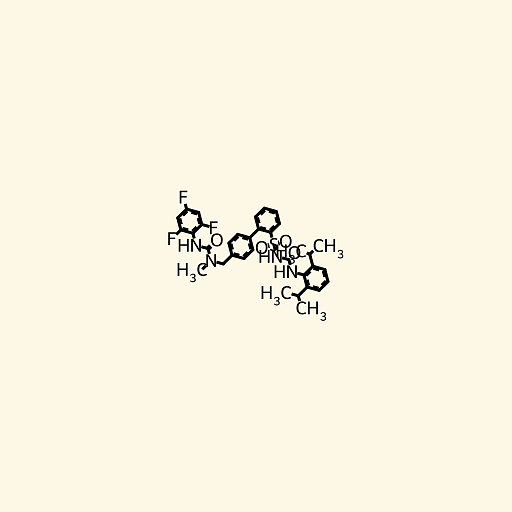 CC(C)c1cccc(C(C)C)c1NC(=O)NS(=O)(=O)c1ccccc1-c1ccc(CN(C)C(=O)Nc2c(F)cc(F)cc2F)cc1